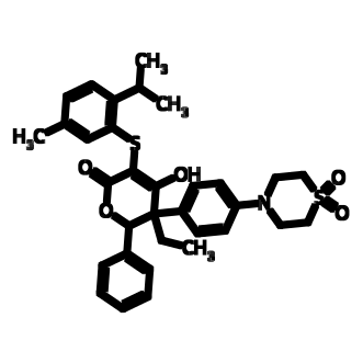 CCC1(c2ccc(N3CCS(=O)(=O)CC3)cc2)C(O)=C(Sc2cc(C)ccc2C(C)C)C(=O)OC1c1ccccc1